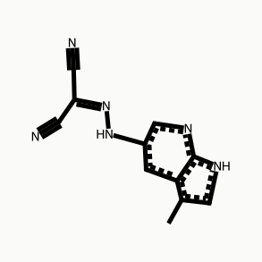 Cc1c[nH]c2ncc(NN=C(C#N)C#N)cc12